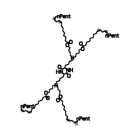 CCCCC/C=C\C/C=C\CCCCCCCC(=O)OCCCCN(CCCCOC(=O)CCCCCCC/C=C\C/C=C\CCCCC)CCCCC1NC(=O)C(CCCCN(CCCCOC(=O)CCCCCCC/C=C\C/C=C\CCCCC)CCCCOC(=O)CCCCCCC/C=C\C/C=C\CCCCC)NC1=O